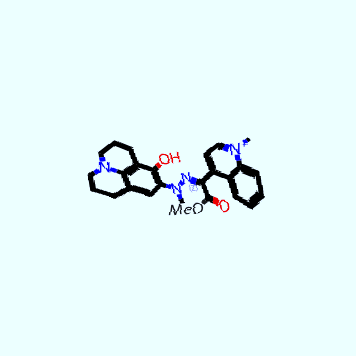 COC(=O)/C(=N\N(C)c1cc2c3c(c1O)CCCN3CCC2)c1cc[n+](C)c2ccccc12